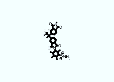 Cc1c(C)c(N2C(=O)c3ccc(C(C)(c4ccc5c(c4)C(=O)N(C)C5=O)C(F)(F)F)cc3C2=O)c(C)c(S(N)(=O)=O)c1C